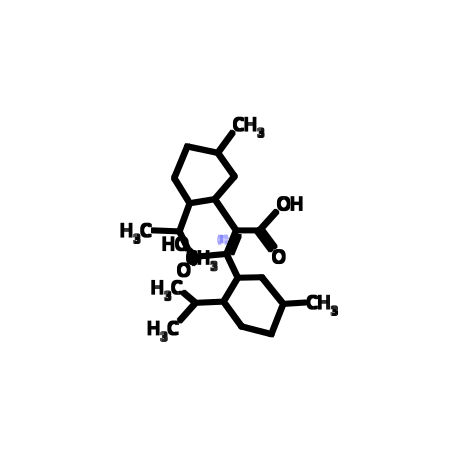 CC1CCC(C(C)C)C(/C(C(=O)O)=C(\C(=O)O)C2CC(C)CCC2C(C)C)C1